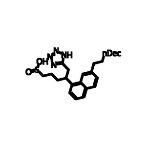 CCCCCCCCCCCCc1ccc2cccc(C(CCCS(=O)O)Cc3nnn[nH]3)c2c1